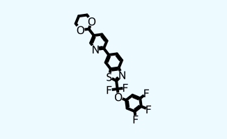 Fc1cc(OC(F)(F)c2nc3ccc(-c4ccc(C5OCCCO5)cn4)cc3s2)cc(F)c1F